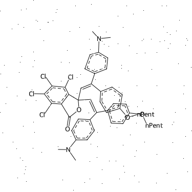 CCCCCOc1ccc(C(=CC2(C=C(c3ccc(OCCCCC)cc3)c3ccc(N(C)C)cc3)OC(=O)c3c(Cl)c(Cl)c(Cl)c(Cl)c32)c2ccc(N(C)C)cc2)cc1